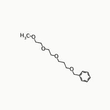 COCCOCCOCCCOCc1ccccc1